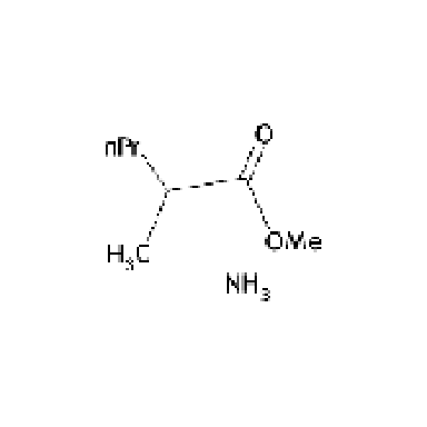 CCCC(C)C(=O)OC.N